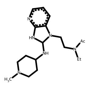 CCN(CCN1c2cccnc2NC1NC1CCN(C)CC1)C(C)=O